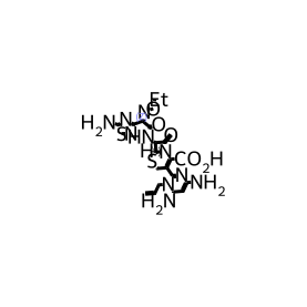 C=CCN1C(C2=C(C(=O)O)N3C(=O)C(NC(=O)/C(=N\OCC)c4nsc(N)n4)[C@@H]3SC2)=NC(N)=CC1N